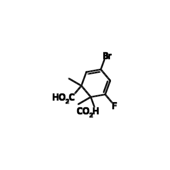 CC1(C(=O)O)C=C(Br)C=C(F)C1(C)C(=O)O